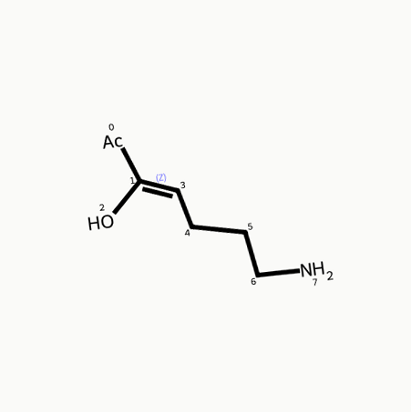 CC(=O)/C(O)=C/CCCN